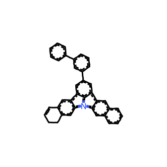 C1=Cc2cc3c4cc(-c5cccc(-c6ccccc6)c5)cc5c6cc7ccccc7cc6n(c3cc2CC1)c45